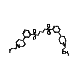 CCCN1CCC(c2cccc(S(=O)(=O)CCCCS(=O)(=O)c3cccc(C4CCN(CCI)CC4)c3)c2)CC1